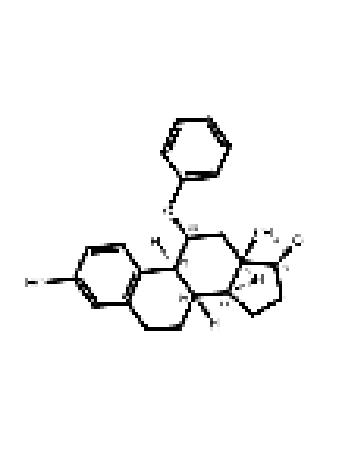 C[C@]12C[C@H](Oc3ccccc3)[C@@H]3c4ccc(O)cc4CC[C@H]3[C@@H]1CC[C@@H]2O